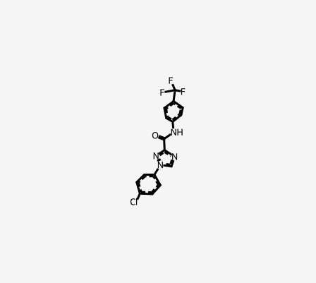 O=C(Nc1ccc(C(F)(F)F)cc1)c1ncn(-c2ccc(Cl)cc2)n1